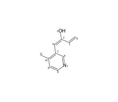 C=C/C(O)=C\c1cnccc1C